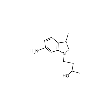 CC(O)CCN1CN(C)c2ccc(N)cc21